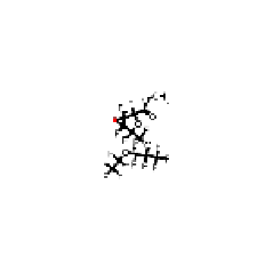 COC(=O)C(F)(OC(F)(C(F)(F)F)C(F)(F)OC(F)(C(F)(F)F)C(F)(F)OC(F)(F)C(F)(F)I)C(F)(F)F